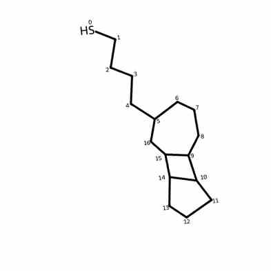 SCCCCC1CCCC2C3CCCC3C2C1